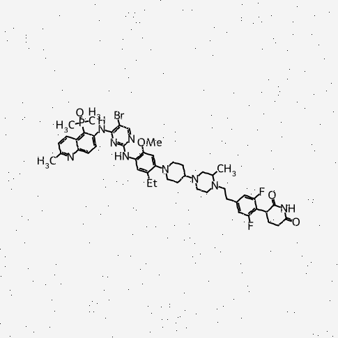 CCc1cc(Nc2ncc(Br)c(Nc3ccc4nc(C)ccc4c3P(C)(C)=O)n2)c(OC)cc1N1CCC(N2CCN(CCc3cc(F)c(C4CCC(=O)NC4=O)c(F)c3)C(C)C2)CC1